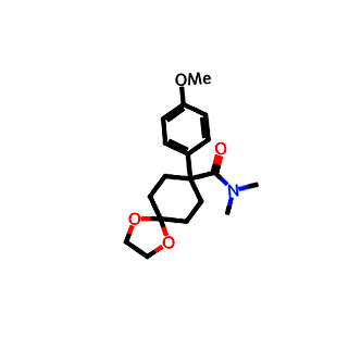 COc1ccc(C2(C(=O)N(C)C)CCC3(CC2)OCCO3)cc1